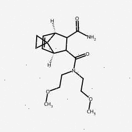 COCCN(CCOC)C(=O)C1C(C(N)=O)[C@@H]2C=C[C@H]1C21CC1